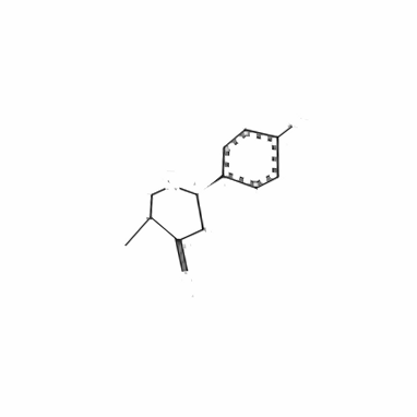 CC1CN[C@@H](c2ccc(Br)cc2)CC1=O